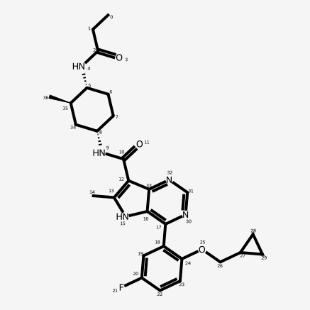 CCC(=O)N[C@@H]1CC[C@H](NC(=O)c2c(C)[nH]c3c(-c4cc(F)ccc4OCC4CC4)ncnc23)C[C@H]1C